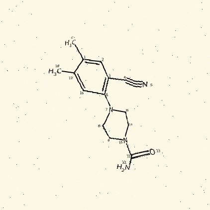 Cc1cc(C#N)c(N2CCN(C(N)=O)CC2)cc1C